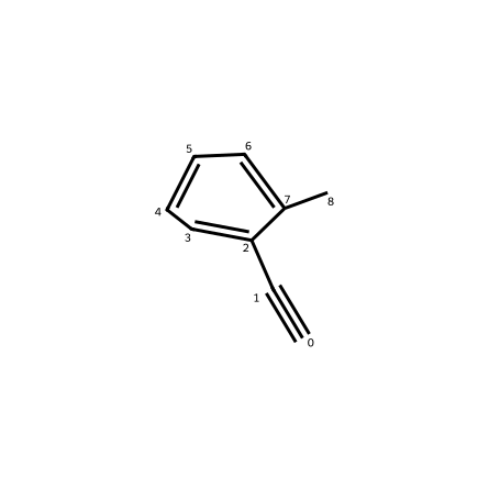 C#Cc1ccccc1C